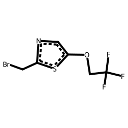 FC(F)(F)COc1cnc(CBr)s1